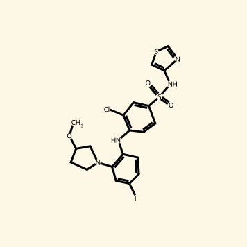 COC1CCN(c2cc(F)ccc2Nc2ccc(S(=O)(=O)Nc3cscn3)cc2Cl)C1